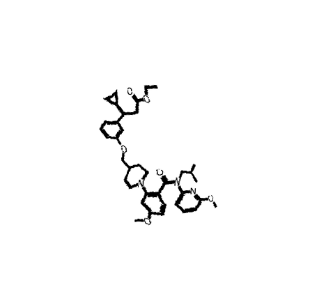 CCOC(=O)CC(c1cccc(OCC2CCN(c3cc(OC)ccc3C(=O)N(CC(C)C)c3cccc(OC)n3)CC2)c1)C1CC1